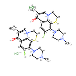 CN1CCN(c2c(F)cc3c(=O)c(C(=O)O)cn4c3c2SCC4)CC1.CN1CCN(c2c(F)cc3c(=O)c(C(=O)O)cn4c3c2SCC4)CC1.Cl.Cl